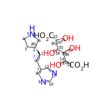 C(=C\[C@H]1CCNC1)/c1cncnc1.O=C(O)[C@@H](O)[C@H](O)[C@H](O)[C@@H](O)C(=O)O